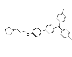 Cc1ccc(N(c2ccc(C)cc2)c2ccc(-c3ccc(OCCCN4CCCC4)cc3)cc2)cc1